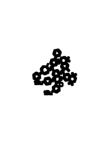 Cc1cc2c(cc1N1c3cc4c(cc3B3C5=C(C6C=C(C(C)(C)C)C=CC6O5)N(c5ccc(C(C)(C)C)cc5)c5cc(N(c6ccc(-c7ccccc7)cc6)C6C=CC(c7ccccc7)=CC[C@H]6C)cc1c53)C(C)(C)CCC4(C)C)C(C)(C)CCC2(C)C